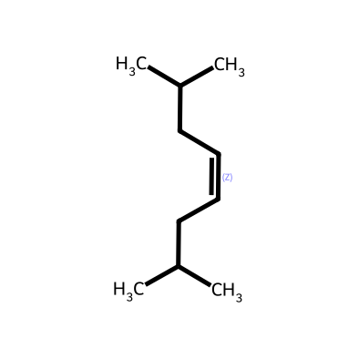 CC(C)C/C=C\CC(C)C